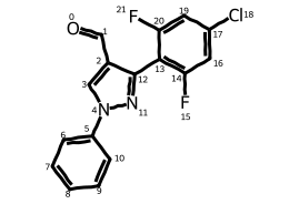 O=Cc1cn(-c2ccccc2)nc1-c1c(F)cc(Cl)cc1F